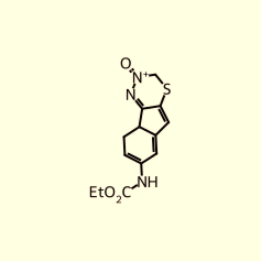 CCOC(=O)NC1=CCC2C(=C1)C=C1SC[N+](=O)N=C12